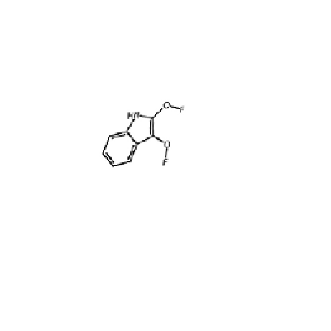 FOc1[nH]c2ccccc2c1OF